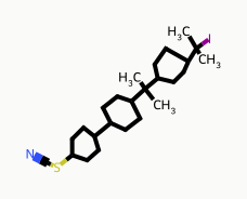 CC(C)(I)C1CCC(C(C)(C)C2CCC(C3CCC(SC#N)CC3)CC2)CC1